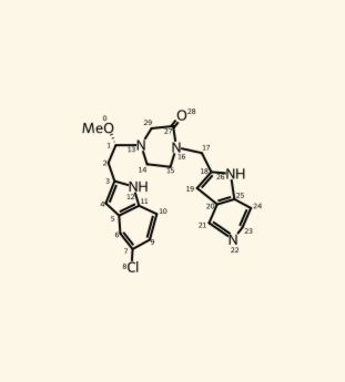 CO[C@@H](Cc1cc2cc(Cl)ccc2[nH]1)N1CCN(Cc2cc3cnccc3[nH]2)C(=O)C1